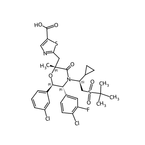 CC(C)(C)S(=O)(=O)C[C@H](C1CC1)N1C(=O)[C@@](C)(Cc2ncc(C(=O)O)s2)O[C@H](c2cccc(Cl)c2)[C@H]1c1ccc(Cl)c(F)c1